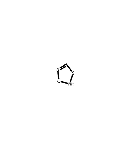 [C]1=NONS1